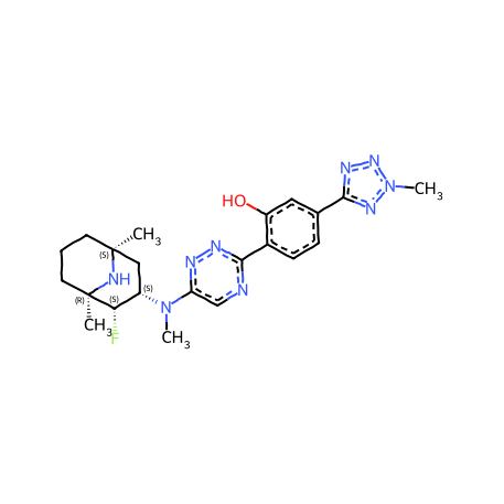 CN(c1cnc(-c2ccc(-c3nnn(C)n3)cc2O)nn1)[C@H]1C[C@]2(C)CCC[C@@](C)(N2)[C@H]1F